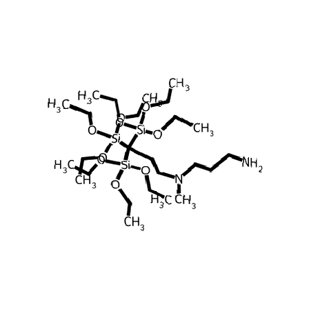 CCO[Si](OCC)(OCC)C(CCN(C)CCCN)([Si](OCC)(OCC)OCC)[Si](OCC)(OCC)OCC